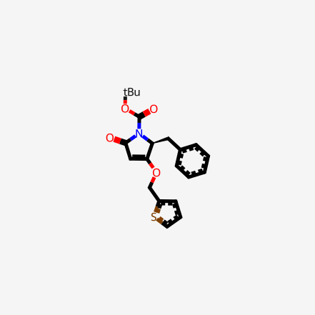 CC(C)(C)OC(=O)N1C(=O)C=C(OCc2cccs2)[C@@H]1Cc1ccccc1